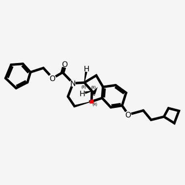 O=C(OCc1ccccc1)N1CC[C@]23CCCC[C@H]2[C@H]1Cc1ccc(OCCC2CCC2)cc13